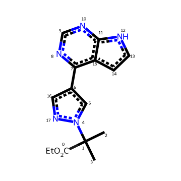 CCOC(=O)C(C)(C)n1cc(-c2ncnc3[nH]ccc23)cn1